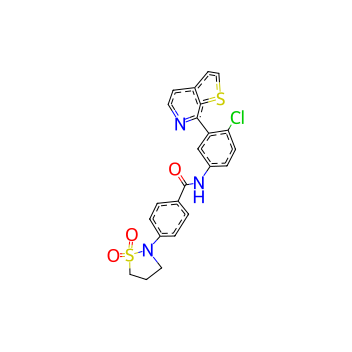 O=C(Nc1ccc(Cl)c(-c2nccc3ccsc23)c1)c1ccc(N2CCCS2(=O)=O)cc1